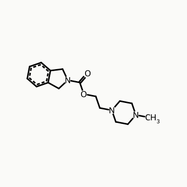 CN1CCN(CCOC(=O)N2Cc3ccccc3C2)CC1